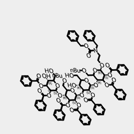 CCCCOCC1O[C@@H](OCCN(Cc2ccccc2)C(=O)OCc2ccccc2)[C@@H](OC(=O)c2ccccc2)C(OC(=O)c2ccccc2)[C@@H]1O[C@@H]1OC(CO)[C@@H](O)C(O[C@@H]2OC(COCCCC)[C@@H](O[C@@H]3OC(CO)[C@@H](O)C(OC(=O)c4ccccc4)[C@@H]3OC(=O)c3ccccc3)C(OC(=O)c3ccccc3)[C@@H]2OC(=O)c2ccccc2)[C@@H]1OC(=O)c1ccccc1